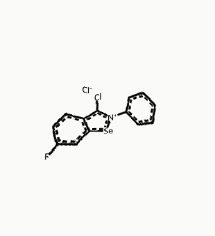 Fc1ccc2c(Cl)[n+](-c3ccccc3)[se]c2c1.[Cl-]